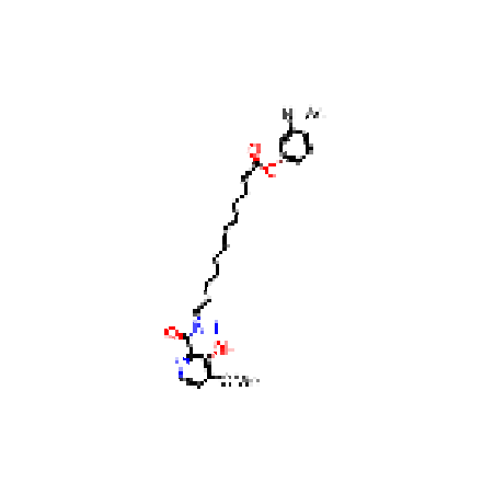 COc1ccnc(C(=O)NCCCCCCCCCCCC(=O)Oc2cccc(NC(C)=O)c2)c1O